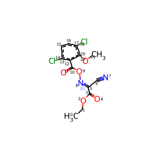 CCOC(=O)/C(C#N)=N/OC(=O)c1c(Cl)ccc(Cl)c1OC